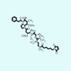 CC[C@H](C)[C@@H]([C@@H](CC(=O)N1CCC[C@H]1[C@H](OC)[C@@H](C)C(=O)N[C@@H](Cc1ccccc1)C(=O)O)OC)N(C)C(=O)[C@@H](/N=C(\N(C)C)N(C)CCN(C)C(=O)CCCCCN1C(=O)C=CC1=O)C(C)C